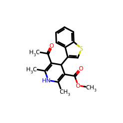 COC(=O)C1=C(C)NC(C)=C(C(C)=O)C1c1csc2ccccc12